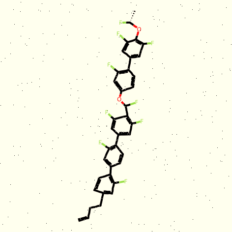 C=CCCc1ccc(-c2ccc(-c3cc(F)c(C(F)Oc4ccc(-c5cc(F)c(O[C@@H](C)F)c(F)c5)c(F)c4)c(F)c3)c(F)c2)c(F)c1